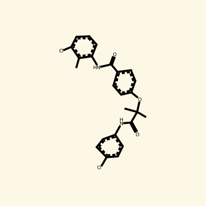 Cc1c(Cl)cccc1NC(=O)c1ccc(OC(C)(C)C(=O)Nc2ccc(Cl)cc2)cc1